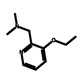 CCOc1cccnc1CN(C)C